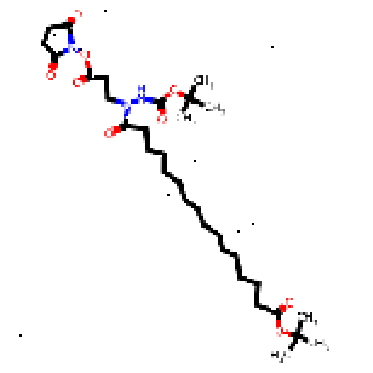 CC(C)(C)OC(=O)CCCCCCCCCCCCCCC(=O)N(CCC(=O)ON1C(=O)CCC1=O)NC(=O)OC(C)(C)C